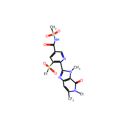 CCn1c(C(F)(F)F)cc2nc(-c3ncc(C(=O)NS(C)(=O)=O)cc3S(=O)(=O)CC)n(C)c2c1=O